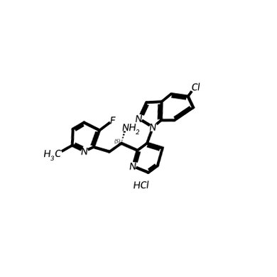 Cc1ccc(F)c(C[C@H](N)c2ncccc2-n2ncc3cc(Cl)ccc32)n1.Cl